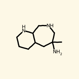 CC1(N)CNCC2NCCCC2C1